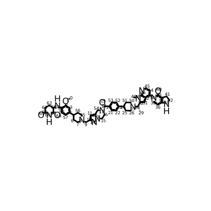 COc1cc(C2CCN(Cc3cc4n(n3)CCN(C(=O)c3ccc(C5CCN([C@@H](C)c6cc7c(-n8ccc9c(c8=O)CCN9)ccnc7n6C)CC5)cc3)C4)CC2)ccc1NC1CCC(=O)NC1=O